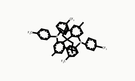 Cc1cc(P(c2ccc(C(F)(F)F)cc2)c2ccc(C(F)(F)F)cc2)c2c(c1)C(C)(C)CC21CC(C)(C)c2cc(C)cc(P(c3ccc(C(F)(F)F)cc3)c3ccc(C(F)(F)F)cc3)c21